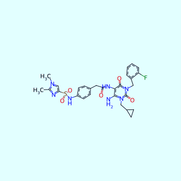 Cc1nc(S(=O)(=O)Nc2ccc(CC(=O)Nc3c(N)n(CC4CC4)c(=O)n(Cc4ccccc4F)c3=O)cc2)cn1C